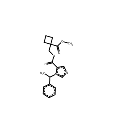 COC(=O)C1(COC(=O)c2cncn2C(C)c2ccccc2)CCC1